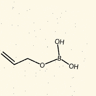 C=CCOB(O)O